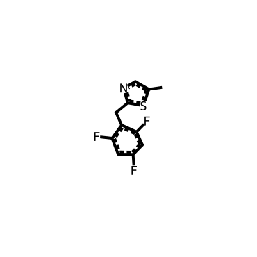 Cc1cnc(Cc2c(F)cc(F)cc2F)s1